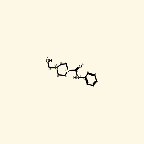 O=C(Nc1ccccc1)N1CCN(CO)CC1